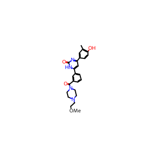 COCCN1CCN(C(=O)c2cccc(-c3cc(-c4ccc(O)c(C)c4)nc(=O)[nH]3)c2)CC1